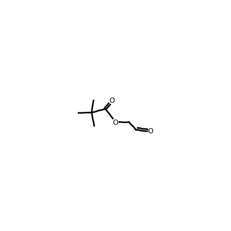 CC(C)(C)C(=O)OC[C]=O